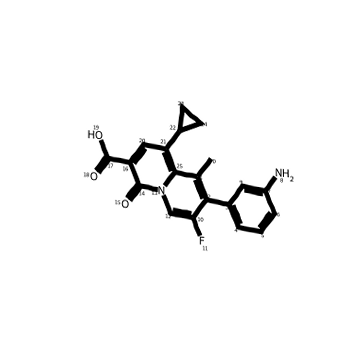 Cc1c(-c2cccc(N)c2)c(F)cn2c(=O)c(C(=O)O)cc(C3CC3)c12